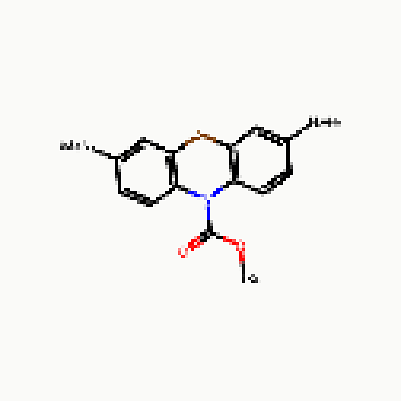 CNc1ccc2c(c1)Sc1cc(NC)ccc1N2C(=O)OC(C)(C)C